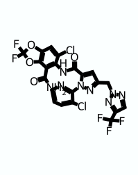 NC(=O)c1c(NC(=O)c2cc(Cn3ncc(C(F)(F)F)n3)nn2-c2ncccc2Cl)c(Cl)cc2c1OC(F)(F)O2